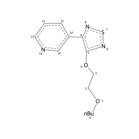 CCCCOCCOc1nsnc1-c1cccnc1